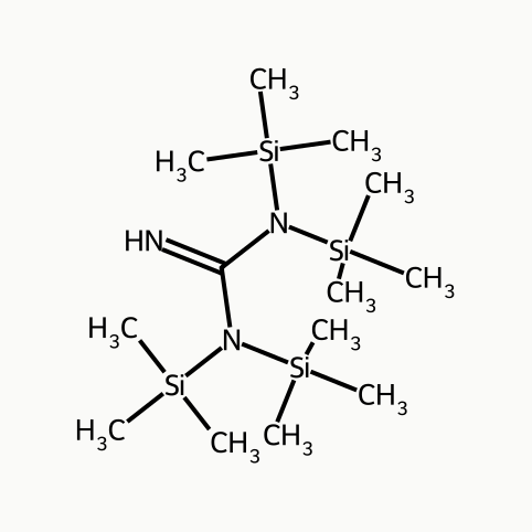 C[Si](C)(C)N(C(=N)N([Si](C)(C)C)[Si](C)(C)C)[Si](C)(C)C